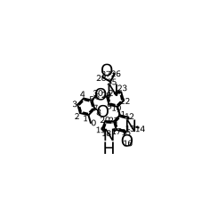 Cc1cccc(C)c1Oc1c(-c2cn(C)c(=O)c3[nH]ccc23)ccn(C2COC2)c1=O